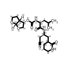 CC(C)C[C@H](NC(=O)O[C@@H]1CO[C@@H]2OCC[C@@H]21)C(=O)N[C@H](CC#N)CC1CCCNC1=O